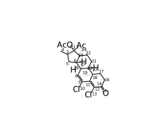 CC(=O)O[C@]1(C(C)=O)C(C)C[C@H]2[C@@H]3C=C(Cl)C4=C(Cl)C(=O)CC[C@]4(C)[C@H]3CC[C@@]21C